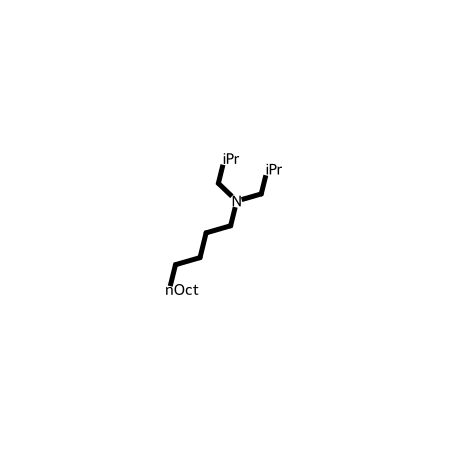 CCCCCCCCCCCCN(CC(C)C)CC(C)C